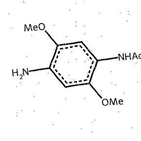 COc1cc(NC(C)=O)c(OC)cc1N